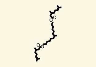 CC(C)=CCCC(C)CC(=O)OCCCCCCC(C)CCCCCCOC(=O)CC(C)CCC=C(C)C